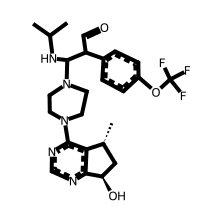 CC(C)NC(C(C=O)c1ccc(OC(F)(F)F)cc1)N1CCN(c2ncnc3c2[C@H](C)C[C@H]3O)CC1